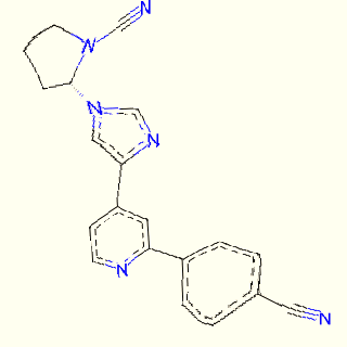 N#Cc1ccc(-c2cc(-c3cn([C@@H]4CCCN4C#N)cn3)ccn2)cc1